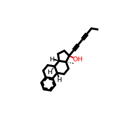 CCC#CC#C[C@@]1(O)CC[C@H]2[C@@H]3CCc4ccccc4[C@H]3CC[C@@]21C